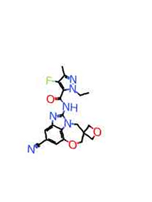 CCn1nc(C)c(F)c1C(=O)Nc1nc2cc(C#N)cc3c2n1CC1(COC1)CO3